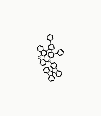 c1ccc(-c2cccc(-c3cc4c(oc5cccc(N(c6cccc(-c7ccccc7)c6)c6ccc7c(c6)C6(c8ccccc8-c8ccccc86)c6ccccc6-7)c54)c4ccccc34)c2)cc1